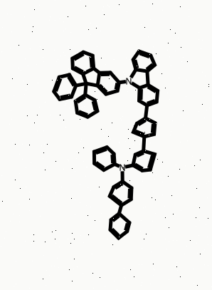 c1ccc(-c2ccc(N(c3ccccc3)c3cccc(-c4ccc(-c5ccc6c7ccccc7n(-c7ccc8c(c7)-c7ccccc7C8(c7ccccc7)c7ccccc7)c6c5)cc4)c3)cc2)cc1